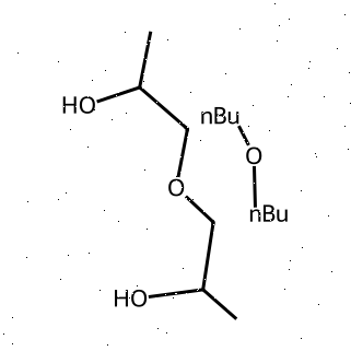 CC(O)COCC(C)O.CCCCOCCCC